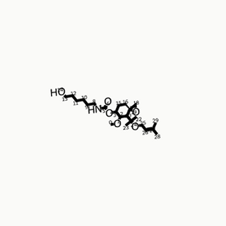 COC1C(OC(=O)NCCCCCCO)CC[C@]2(CO2)C1C(C)(C)OCC=C(C)C